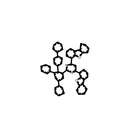 c1ccc(-c2ccc(-c3c(-c4ccccc4)cc(-c4ccccc4)cc3-c3nc(-c4cccc5c4oc4ccccc45)cc(-c4cccc5c4oc4ccccc45)n3)cc2)cc1